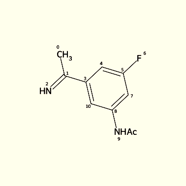 CC(=N)c1cc(F)cc(NC(C)=O)c1